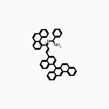 NC(/N=C(\C=C\c1ccc(-c2c3ccccc3cc3c2ccc2ccccc23)c2ccccc12)c1cccc2ccc3ccccc3c12)c1ccccc1